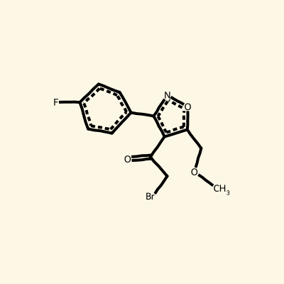 COCc1onc(-c2ccc(F)cc2)c1C(=O)CBr